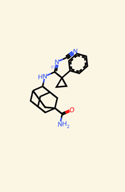 N#C/N=C(/NC1C2CC3CC1CC(C(N)=O)(C3)C2)C1(c2ccccc2)CC1